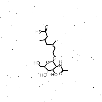 CC(=O)NC1C(O)[C@H](O)C(CO)O[C@H]1OCCC(C)CC(C)CC(=O)S